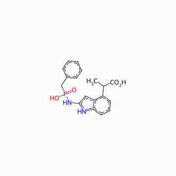 CC(C(=O)O)c1cccc2[nH]c(NP(=O)(O)Cc3ccccc3)cc12